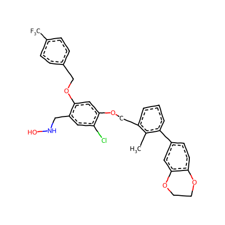 Cc1c(COc2cc(OCc3ccc(C(F)(F)F)cc3)c(CNO)cc2Cl)cccc1-c1ccc2c(c1)OCCO2